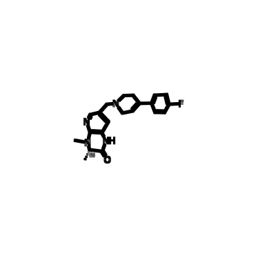 C[C@H]1C(=O)Nc2cc(CN3CC=C(c4ccc(F)cc4)CC3)cnc2N1C